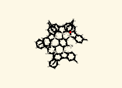 Cc1ccc2c(c1)c1cc(C)ccc1n2-c1c(C#N)c(-n2c3ccc(C)cc3c3cc(C)ccc32)c(-n2c3ccc(C)cc3c3cc(C)ccc32)c(-n2c3ccc(C)cc3c3cc(C)ccc32)c1-c1nc(-c2ccccc2)nc(-c2ccccc2)n1